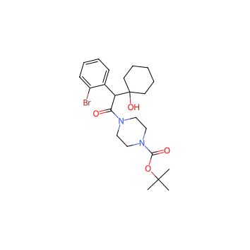 CC(C)(C)OC(=O)N1CCN(C(=O)C(c2ccccc2Br)C2(O)CCCCC2)CC1